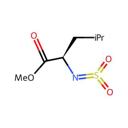 COC(=O)[C@@H](CC(C)C)N=S(=O)=O